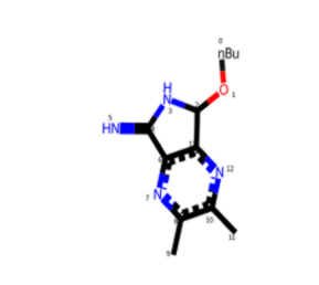 CCCCOC1NC(=N)c2nc(C)c(C)nc21